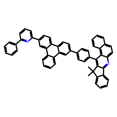 CC1(C)c2ccccc2-c2nc3ccc4ccccc4c3c(-c3ccc(-c4ccc5c6ccc(-c7cccc(-c8ccccc8)n7)cc6c6ccccc6c5c4)cc3)c21